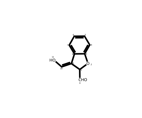 O=CC1Oc2ccccc2C1=CO